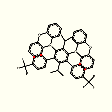 CC(C)c1c(-c2ccc(C(F)(F)F)cc2)c(N2c3ccccc3Oc3ccccc32)c(C(C)C)c(N2c3ccccc3Oc3ccccc32)c1-c1ccc(C(F)(F)F)cc1